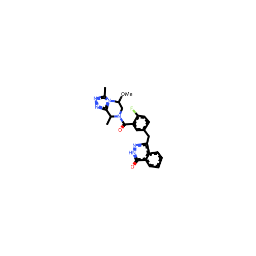 COC1CN(C(=O)c2cc(Cc3n[nH]c(=O)c4ccccc34)ccc2F)C(C)c2nnc(C)n21